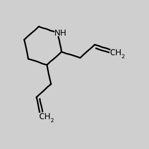 C=CCC1CCCNC1CC=C